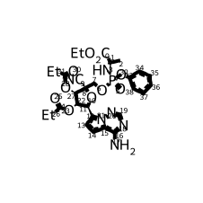 CCOC(=O)C(C)N[P@](=O)(OC[C@@]1(C#N)O[C@@H](c2ccc3c(N)ncnn23)[C@H](OC(=O)CC)[C@@H]1OC(=O)CC)Oc1ccccc1